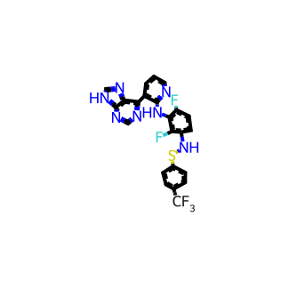 Fc1ccc(NSc2ccc(C(F)(F)F)cc2)c(F)c1Nc1ncccc1-c1ncnc2[nH]cnc12